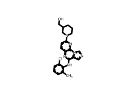 Cc1cccc(Cl)c1Nc1nc2ccc(N3CCCC(CO)C3)nc2n2cncc12